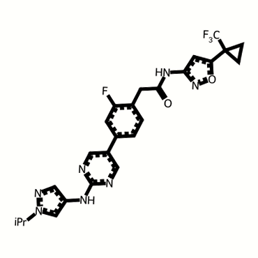 CC(C)n1cc(Nc2ncc(-c3ccc(CC(=O)Nc4cc(C5(C(F)(F)F)CC5)on4)c(F)c3)cn2)cn1